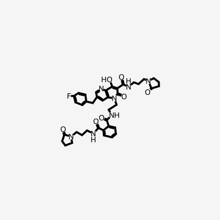 O=C(NCCCN1CCCC1=O)c1ccccc1C(=O)NCCn1c(=O)c(C(=O)NCCCN2CCCC2=O)c(O)c2ncc(Cc3ccc(F)cc3)cc21